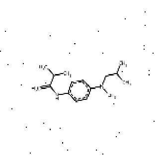 C=C(Nc1ccc(N(C)CC(C)C)cc1)C(C)C